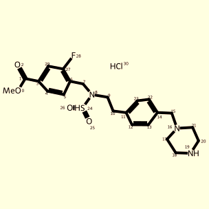 COC(=O)c1ccc(CN(CCc2ccc(CN3CCNCC3)cc2)[SH](=O)=O)c(F)c1.Cl